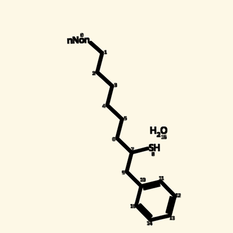 CCCCCCCCCCCCCCCC(S)Cc1ccccc1.O